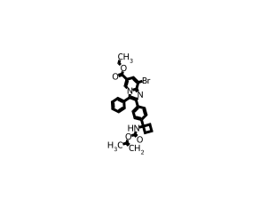 C=C(C)OC(=O)NC1(c2ccc(-c3nc4c(Br)cc(C(=O)OCC)cn4c3-c3ccccc3)cc2)CCC1